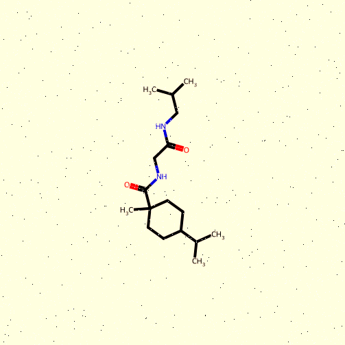 CC(C)CNC(=O)CNC(=O)C1(C)CCC(C(C)C)CC1